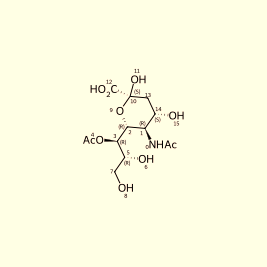 CC(=O)N[C@H]1[C@H]([C@H](OC(C)=O)[C@H](O)CO)O[C@](O)(C(=O)O)C[C@@H]1O